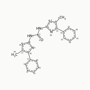 Cc1sc(NC(=O)Nc2nc(-c3ccccc3)c(C)s2)nc1-c1ccccc1